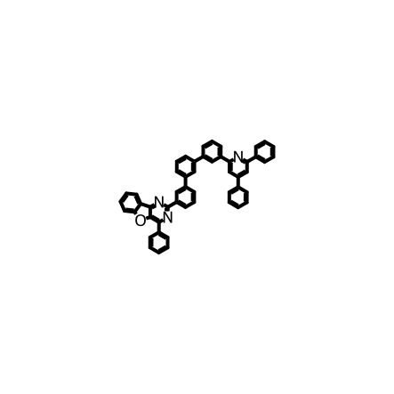 c1ccc(-c2cc(-c3ccccc3)nc(-c3cccc(-c4cccc(-c5cccc(-c6nc(-c7ccccc7)c7oc8ccccc8c7n6)c5)c4)c3)c2)cc1